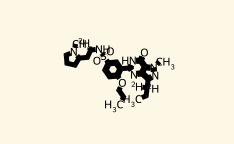 [2H]C(CC1CCCN1C)NS(=O)(=O)c1ccc(OCCC)c(-c2nc3c(C([2H])([2H])CC)nn(C)c3c(=O)[nH]2)c1